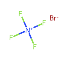 F[N+](F)(F)F.[Br-]